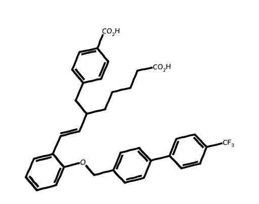 O=C(O)CCCCC(/C=C/c1ccccc1OCc1ccc(-c2ccc(C(F)(F)F)cc2)cc1)Cc1ccc(C(=O)O)cc1